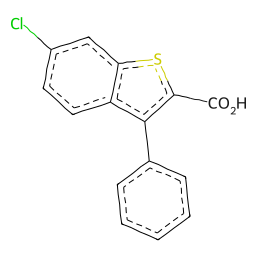 O=C(O)c1sc2cc(Cl)ccc2c1-c1ccccc1